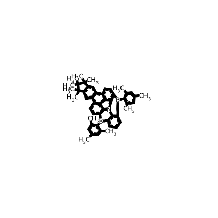 Cc1cc(C)c(B2c3cccc4c3-n3c5c2ccc2c6cc7c(cc6c6ccc(c3c6c25)B4c2c(C)cc(C)cc2C)C(C)(C)C(C)(C)C7(C)C)c(C)c1